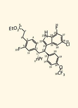 CCC[C@H](c1ccc(CCC(=O)OCC)c(F)c1)[C@H](c1ccc(OC(F)(F)F)cc1)c1c[nH]c2c(F)cc(Cl)cc12